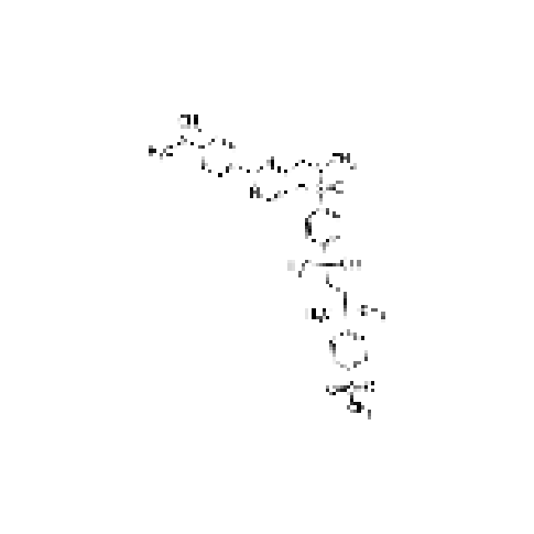 CN(C)c1ccc(-c2nccc(CN(C)S(=O)(=O)c3ccc(C(C)(C)CCC(C)(C)c4ccc(S(C)(=O)=O)cc4)cc3)n2)cc1